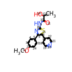 COc1ccc(-c2nc(NC(=O)C(C)O)sc2-c2ccncc2)cc1